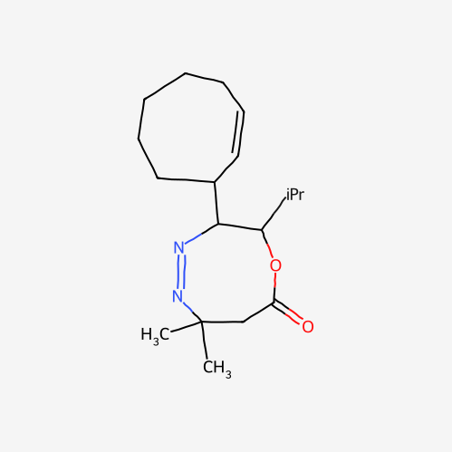 CC(C)C1OC(=O)CC(C)(C)N=NC1C1C=CCCCCC1